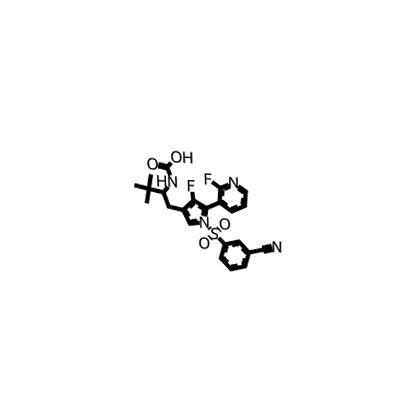 CC(C)(C)C(Cc1cn(S(=O)(=O)c2cccc(C#N)c2)c(-c2cccnc2F)c1F)NC(=O)O